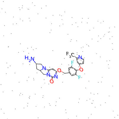 N[C@@H]1CC2Cn3c(cc(OCc4cc(F)c(Oc5ccnc(C(F)(F)F)c5)c(F)c4)nc3=O)N2C1